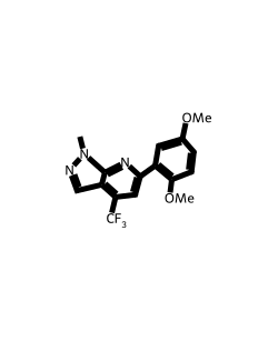 COc1ccc(OC)c(-c2cc(C(F)(F)F)c3cnn(C)c3n2)c1